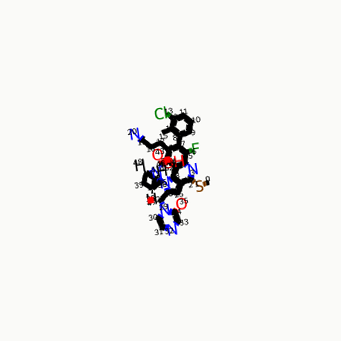 CSc1nc2c(F)c(-c3cccc(Cl)c3C)c(CCC#N)cc2c2c1cc([C@@H](C)n1ccncc1=O)n2[C@H]1[C@@H]2C[C@H]1N(C(=O)O)C2